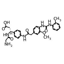 COc1cc(CC(=O)Nc2ccc([C@@H](CC(=O)O)NC(=O)CN)cc2)ccc1NC(=O)Nc1ccccc1C